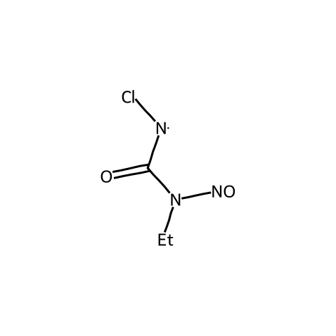 CCN(N=O)C(=O)[N]Cl